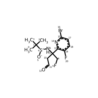 CC(C)(C)[S+]([O-])NC(CF)(CC=O)c1nc(Br)ccc1F